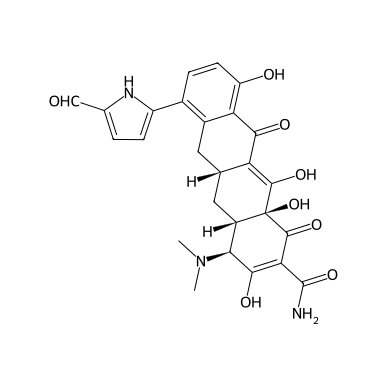 CN(C)[C@@H]1C(O)=C(C(N)=O)C(=O)[C@@]2(O)C(O)=C3C(=O)c4c(O)ccc(-c5ccc(C=O)[nH]5)c4C[C@H]3C[C@@H]12